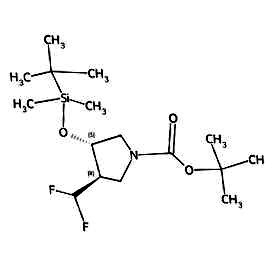 CC(C)(C)OC(=O)N1C[C@@H](O[Si](C)(C)C(C)(C)C)[C@H](C(F)F)C1